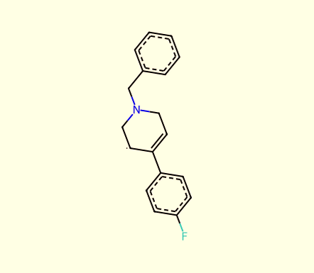 Fc1ccc(C2=CCN(Cc3ccccc3)C[CH]2)cc1